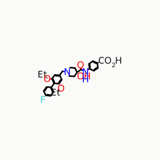 CCOc1cc(CN2CCC(O)(C(=O)Nc3ccc(C(=O)O)cc3)CC2)cc(OCC)c1-c1ccc(F)cc1